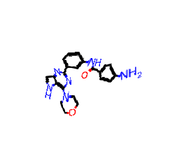 Nc1ccc(C(=O)Nc2cccc(-c3nc(N4CCOCC4)c4[nH]ccc4n3)c2)cc1